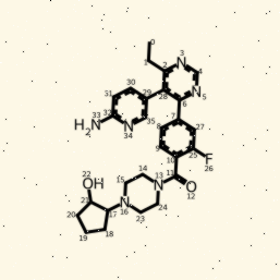 CCc1ncnc(-c2ccc(C(=O)N3CCN(C4CCCC4O)CC3)c(F)c2)c1-c1ccc(N)nc1